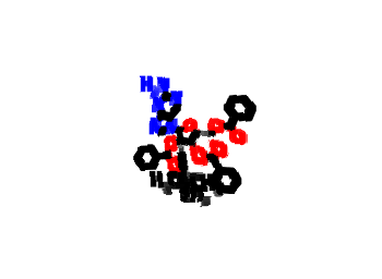 C[Si](C)(C)C#C[C@]1(OC(=O)c2ccccc2)C(n2cnc3nc(N)ncc32)O[C@H](COC(=O)c2ccccc2)[C@H]1OC(=O)c1ccccc1